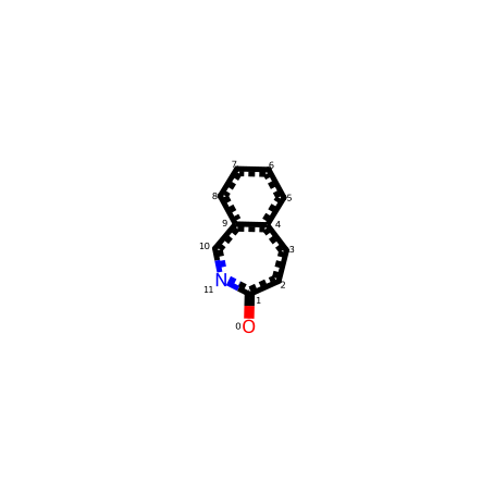 O=c1ccc2ccccc2cn1